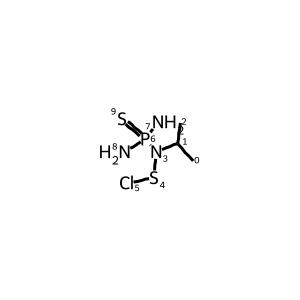 CC(C)N(SCl)P(N)(N)=S